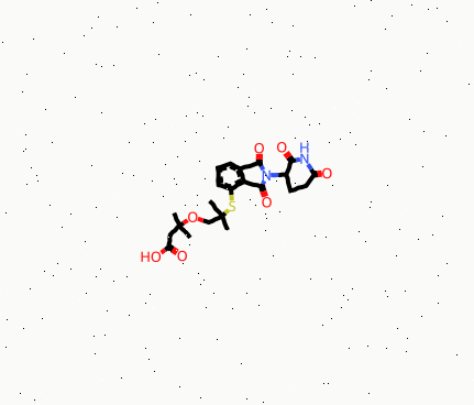 CC(C)(CC(=O)O)OCC(C)(C)Sc1cccc2c1C(=O)N(C1CCC(=O)NC1=O)C2=O